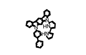 C1=CCNC(C2=CC=CC(n3c4ccccc4c4cc5c6ccccc6n(-c6ccc(-c7ccccc7)cc6)c5cc43)N2)=C1